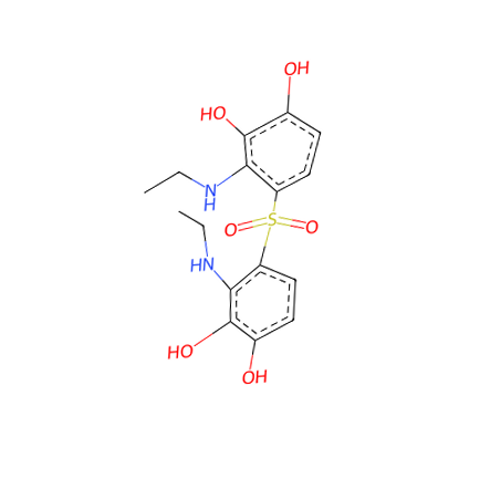 CCNc1c(S(=O)(=O)c2ccc(O)c(O)c2NCC)ccc(O)c1O